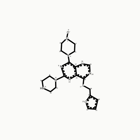 [O-][S+]1CCN(c2nc(N3CCNCC3)nc3c(SCc4ccco4)ncnc23)CC1